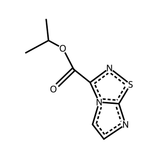 CC(C)OC(=O)c1nsc2nccn12